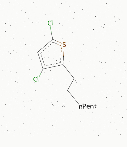 CCCCCCCc1sc(Cl)cc1Cl